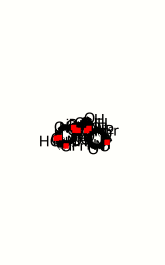 Cc1c2oc3c(C)ccc(C(=O)N[C@@H]4C(=O)N[C@H](C(C)C)C(=O)N5[C@H](C(=O)N(C)CC(=O)N(C)[C@@H](C(C)C)C(=O)O[C@@H]4C)[C@@H](O)C[C@@H]5C)c3nc-2c(C(=O)N[C@@H]2C(=O)N[C@H](C(C)C)C(=O)N3CCC[C@H]3C(=O)N(C)CC(=O)N(C)[C@@H](C)C(=O)O[C@@H]2CO)c(N)c1=O